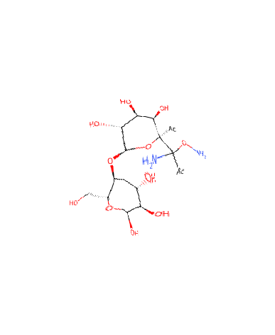 CC(=O)C(N)(ON)[C@@]1(C(C)=O)O[C@@H](O[C@H]2[C@H](O)[C@@H](O)[C@@H](O)O[C@@H]2CO)[C@H](O)[C@@H](O)[C@H]1O